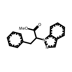 COC(=O)C(Cc1ccccc1)n1ncc2ccccc21